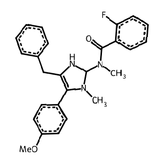 COc1ccc(C2=C(Cc3ccccc3)NC(N(C)C(=O)c3ccccc3F)N2C)cc1